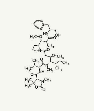 CC[C@H](C)[C@@H]([C@@H](CC(=O)N1CCC[C@H]1[C@H](OC)[C@@H](C)C(=O)N[C@H](CO)Cc1ccccc1)OC)N(C)C(=O)[C@@H](NC(=O)[C@H]1N(C)C(=O)OC1(C)C)C(C)C